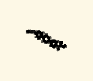 C=CC(=O)N(C)c1ccc(C2CCC(C3CCC(CCCCCCCCC)CC3)CC2)cc1